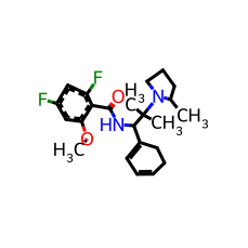 COc1cc(F)cc(F)c1C(=O)NC(C1=CC=CCC1)C(C)(C)N1CCCC1C